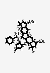 CC[C](c1ccccc1)=[Zr]([C]1=CC(C)=CC1C)[CH]1c2cc3c(cc2-c2cc4c(cc21)C(C)(C)C=C4C(C)(C)C)C(C(C)(C)C)=CC3(C)C